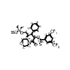 C=C(CO[Si](C)(C)C(C)(C)C)[C@@H](c1ccccc1)[C@@H](O[C@H](C)c1cc(C(F)(F)F)cc(C(F)(F)F)c1)C(=O)N1CCOCC1